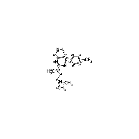 CN(C)CCN(C)c1nc(CN)cc(-c2ccc(C(F)(F)F)cc2)n1